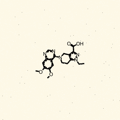 CCn1nc(C(=O)O)c2c1CCN(c1ncnc3cc(OC)c(OC)cc13)C2